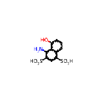 Nc1c(S(=O)(=O)O)cc(S(=O)(=O)O)c2cccc(O)c12